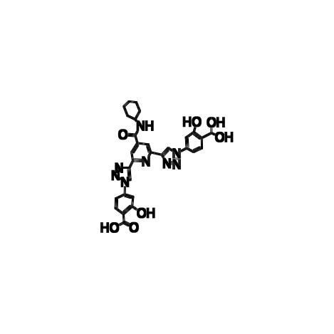 O=C(NC1CCCCC1)c1cc(-c2cn(-c3ccc(C(=O)O)c(O)c3)nn2)nc(-c2cn(-c3ccc(C(O)O)c(O)c3)nn2)c1